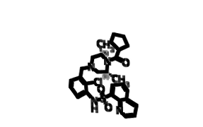 C[C@@H]1CN(Cc2cccc(NS(=O)(=O)c3cccc4cccnc34)c2Cl)C[C@H](C)N1C(=O)C1CCCC1